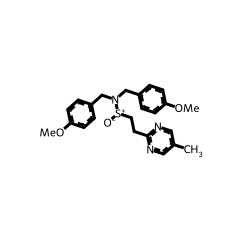 COc1ccc(CN(Cc2ccc(OC)cc2)[S+]([O-])CCc2ncc(C)cn2)cc1